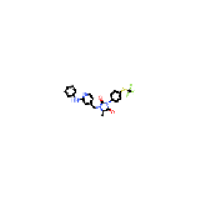 CC1C(=O)N(c2ccc(SC(F)(F)F)cc2)C(=O)N1Cc1ccnc(Nc2ccccc2)c1